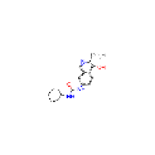 CCOC(=O)c1ncc2cc(NC(=O)NC3CCCCC3)ccc2c1O